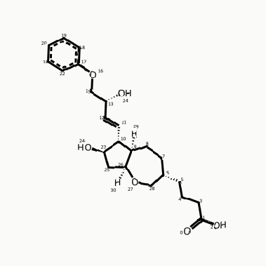 O=C(O)CCC[C@H]1CC[C@@H]2[C@@H](C=C[C@@H](O)COc3ccccc3)[C@H](O)C[C@@H]2OC1